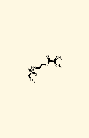 C=C(C)C(=O)OCCNS(=O)(=O)CC(F)(F)F